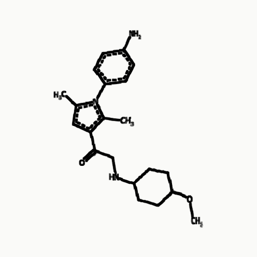 COC1CCC(NCC(=O)c2cc(C)n(-c3ccc(N)cc3)c2C)CC1